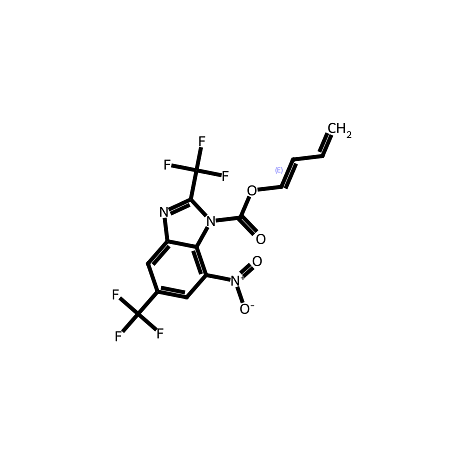 C=C/C=C/OC(=O)n1c(C(F)(F)F)nc2cc(C(F)(F)F)cc([N+](=O)[O-])c21